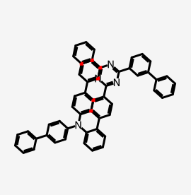 c1ccc(-c2ccc(N(c3ccc(-c4ccccc4)cc3)c3ccccc3-c3ccc(-c4nc(-c5ccccc5)nc(-c5cccc(-c6ccccc6)c5)n4)cc3)cc2)cc1